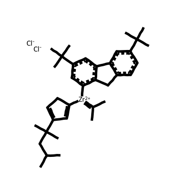 C[C](C)=[Zr+2]([C]1=CC(C(C)(C)CC(C)C)=CC1)[c]1cc(C(C)(C)C)cc2c1Cc1ccc(C(C)(C)C)cc1-2.[Cl-].[Cl-]